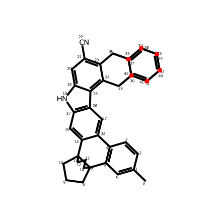 Cc1ccc2c(c1)C13CCCC1(CCC3)c1cc3[nH]c4cc(C#N)c5c(c4c3cc1-2)C1c2ccccc2C5c2ccccc21